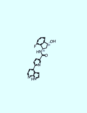 O=C(N[C@H]1C[C@@H](O)c2cccc(F)c21)c1ccc(-c2ccnc3[nH]ccc23)nc1